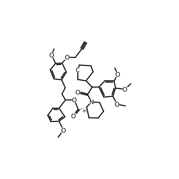 C#CCOc1cc(CCC(OC(=O)[C@H]2CCCCN2C(=O)C(c2cc(OC)c(OC)c(OC)c2)C2CCCCC2)c2cccc(OC)c2)ccc1OC